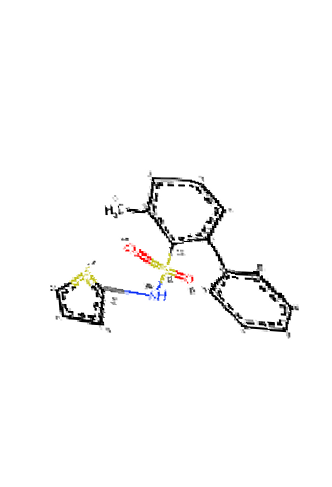 Cc1cccc(-c2ccccc2)c1S(=O)(=O)Nc1cccs1